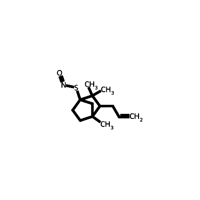 C=CC[C]1C2(C)CCC(SN=O)(C2)C1(C)C